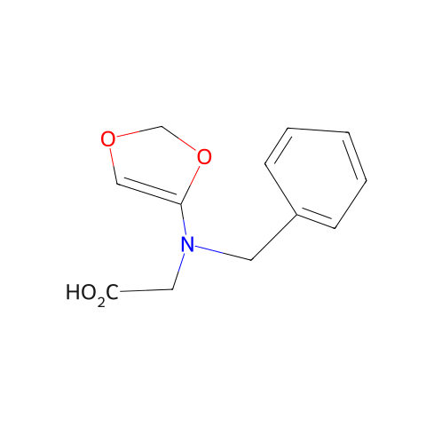 O=C(O)CN(Cc1ccccc1)C1=COCO1